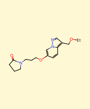 CCOCc1cnn2cc(OCCCN3CCCC3=O)ccc12